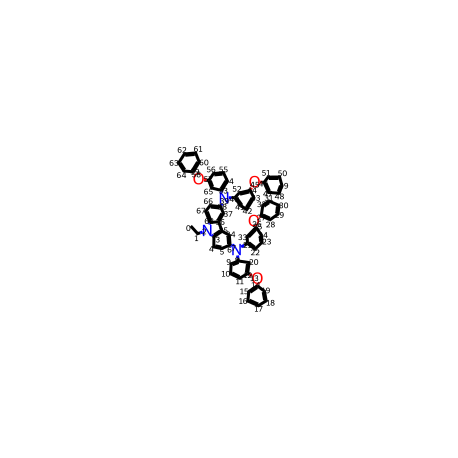 CCn1c2ccc(N(c3cccc(Oc4ccccc4)c3)c3cccc(Oc4ccccc4)c3)cc2c2cc(N(c3cccc(Oc4ccccc4)c3)c3cccc(Oc4ccccc4)c3)ccc21